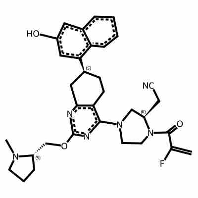 C=C(F)C(=O)N1CCN(c2nc(OC[C@@H]3CCCN3C)nc3c2CC[C@H](c2cc(O)cc4ccccc24)C3)C[C@H]1CC#N